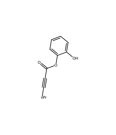 CCCC#CC(=O)Oc1ccccc1O